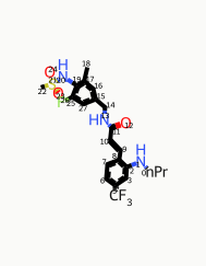 CCCNc1cc(C(F)(F)F)ccc1C=CC(=O)NCc1cc(C)c(NS(C)(=O)=O)c(F)c1